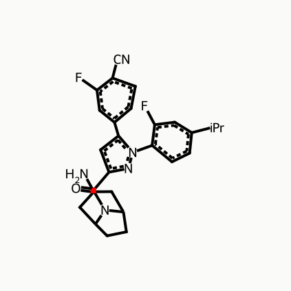 CC(C)c1ccc(-n2nc(C(=O)N3C4CCC3CC(N)C4)cc2-c2ccc(C#N)c(F)c2)c(F)c1